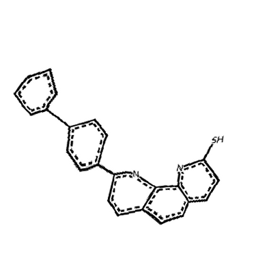 Sc1ccc2ccc3ccc(-c4ccc(-c5ccccc5)cc4)nc3c2n1